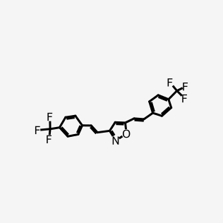 FC(F)(F)c1ccc(/C=C/c2cc(/C=C/c3ccc(C(F)(F)F)cc3)on2)cc1